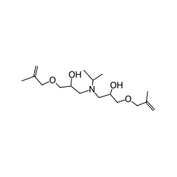 C=C(C)COCC(O)CN(CC(O)COCC(=C)C)C(C)C